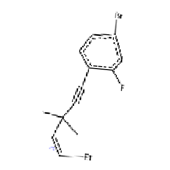 CC/C=C\C(C)(C)C#Cc1ccc(Br)cc1F